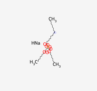 CCCCCCCC/C=C\CCCCCCCC(=O)OS(=O)(=O)C(CC(=O)OCCCCCCCC)C(=O)OCCCCCCCC.[NaH]